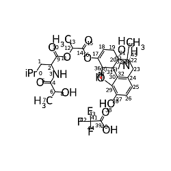 CC(C)CC(NC(=O)C(C)O)C(=O)OC(C)C(=O)OC1=CC[C@@]2(O)[C@H]3Cc4ccc(O)c5c4[C@@]2(CCN3C)[C@H]1O5.O=C(O)C(F)(F)F